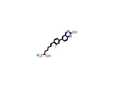 CC(O)CCC/C=C/c1ccc(-c2ccc3nc(O)ncc3c2)cc1F